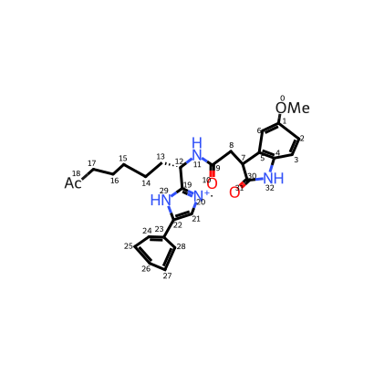 COc1ccc2c(c1)C(CC(=O)N[C@@H](CCCCCC(C)=O)C1=[N+]C=C(c3ccccc3)N1)C(=O)N2